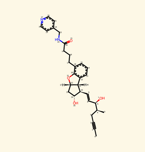 CC#CC[C@H](C)[C@H](O)/C=C/[C@@H]1[C@H]2c3cccc(CCCC(=O)NCc4ccncc4)c3O[C@H]2C[C@H]1O